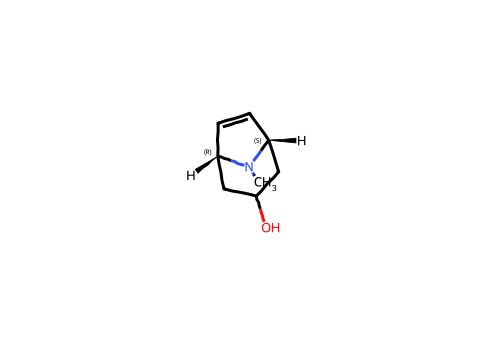 CN1[C@@H]2C=C[C@H]1CC(O)C2